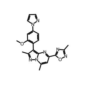 COc1cc(-n2cccn2)ccc1-c1c(C)nn2c(C)cc(-c3nc(C)no3)nc12